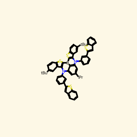 CC(C)c1cc2c3c(c1)N(c1cccc(-c4cc5ccccc5s4)c1)c1c(sc4ccc(C(C)(C)C)cc14)B3c1sc3ccc(C(C)(C)C)cc3c1N2c1cccc(-c2cc3ccccc3s2)c1